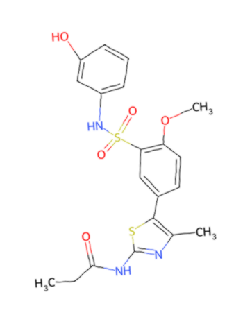 CCC(=O)Nc1nc(C)c(-c2ccc(OC)c(S(=O)(=O)Nc3cccc(O)c3)c2)s1